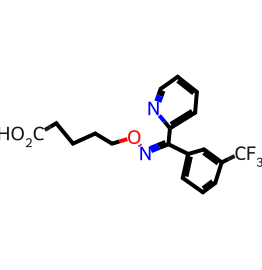 O=C(O)CCCCON=C(c1cccc(C(F)(F)F)c1)c1ccccn1